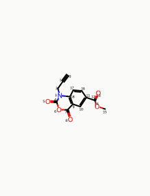 C#CCn1c(=O)oc(=O)c2cc(C(=O)OC)ccc21